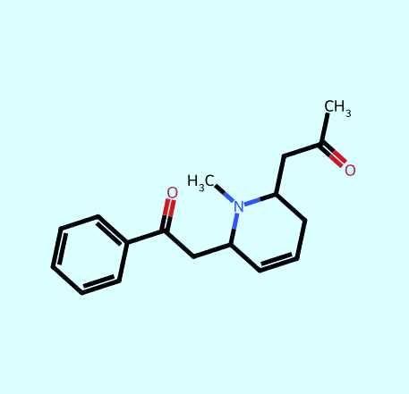 CC(=O)CC1CC=CC(CC(=O)c2ccccc2)N1C